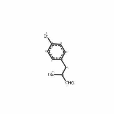 CCc1ccc(CC(C=O)C(C)(C)C)cc1